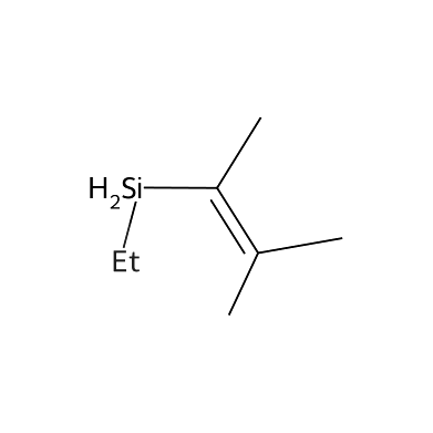 CC[SiH2]C(C)=C(C)C